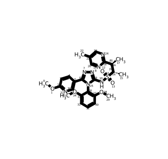 COc1ccc(-c2nnc(NS(=O)(=O)[C@@H](C)[C@H](C)c3ncc(C)cn3)n2-c2c(OC)cccc2OC)cn1